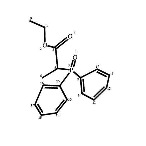 CCOC(=O)C(C)P(=O)(c1ccccc1)c1ccccc1